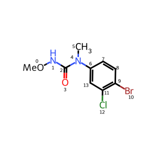 CONC(=O)N(C)c1ccc(Br)c(Cl)c1